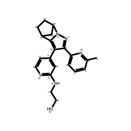 Cc1cccc(-c2nn3c(c2-c2ccnc(NCCO)c2)C2CCC3C2)n1